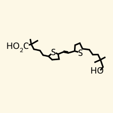 CC(C)(CO)CCCC1CCC(C=CC2CCC(CCCC(C)(C)C(=O)O)S2)S1